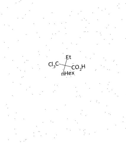 CCCCCCC(CC)(C(=O)O)C(Cl)(Cl)Cl